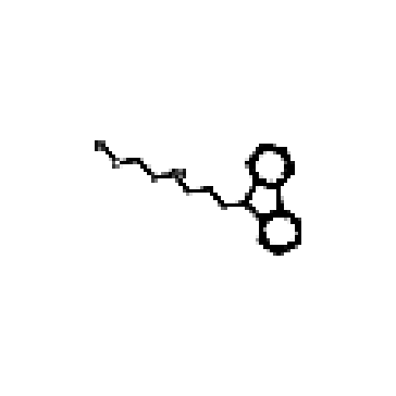 CCOCSNCCCC1c2ccccc2-c2ccccc21